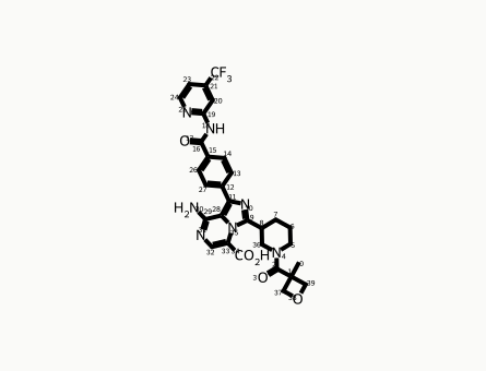 CC1(C(=O)N2CCCC(c3nc(-c4ccc(C(=O)Nc5cc(C(F)(F)F)ccn5)cc4)c4c(N)ncc(C(=O)O)n34)C2)COC1